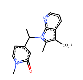 Cc1c(C(=O)O)c2cccnc2n1C(C)c1ccn(C)c(=O)c1